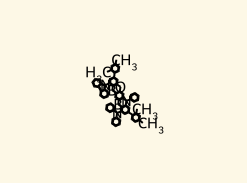 Cc1ccc(-c2cc3c4c(c2)N(c2ccccc2)c2cc5c(cc2B4c2ccccc2N3c2ccccc2)B2c3c(cc(-c4ccc(C)cc4C)cc3-n3c4ccccc4c4cccc2c43)O5)c(C)c1